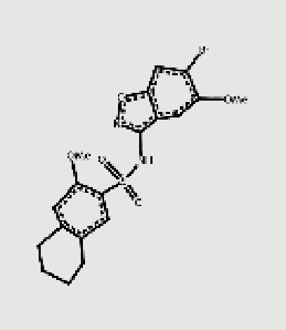 COc1cc2c(NS(=O)(=O)c3cc4c(cc3OC)CCCC4)noc2cc1Br